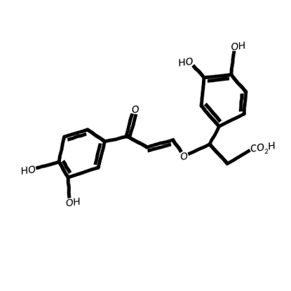 O=C(O)CC(OC=CC(=O)c1ccc(O)c(O)c1)c1ccc(O)c(O)c1